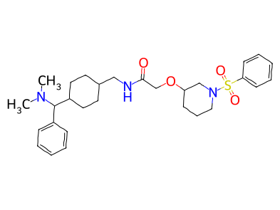 CN(C)C(c1ccccc1)C1CCC(CNC(=O)COC2CCCN(S(=O)(=O)c3ccccc3)C2)CC1